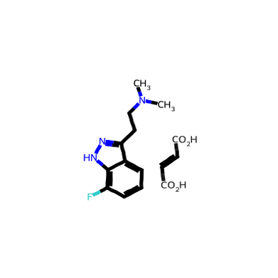 CN(C)CCc1n[nH]c2c(F)cccc12.O=C(O)/C=C/C(=O)O